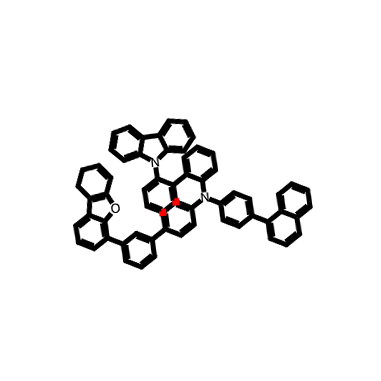 C1=Cc2oc3c(-c4cccc(-c5ccc(N(c6ccc(-c7cccc8ccccc78)cc6)c6ccccc6-c6ccccc6-n6c7ccccc7c7ccccc76)cc5)c4)cccc3c2CC1